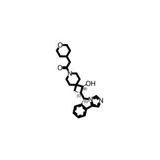 O=C(CC1CCOCC1)N1CCC2(CC1)C[C@@H]([C@H]1c3ccccc3-c3cncn31)[C@H]2O